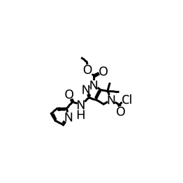 CCOC(=O)n1nc(NC(=O)c2ccccn2)c2c1C(C)(C)N(C(=O)Cl)C2